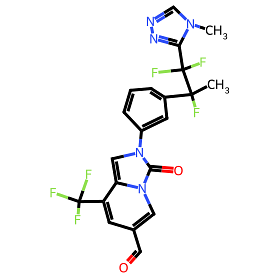 Cn1cnnc1C(F)(F)C(C)(F)c1cccc(-n2cc3c(C(F)(F)F)cc(C=O)cn3c2=O)c1